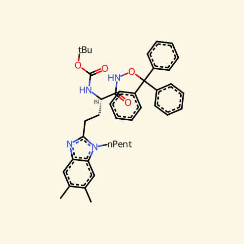 CCCCCn1c(CC[C@H](NC(=O)OC(C)(C)C)C(=O)NOC(c2ccccc2)(c2ccccc2)c2ccccc2)nc2cc(C)c(C)cc21